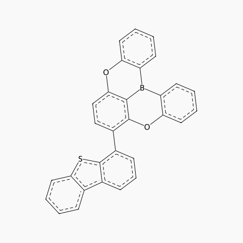 c1ccc2c(c1)Oc1ccc(-c3cccc4c3sc3ccccc34)c3c1B2c1ccccc1O3